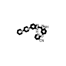 N#Cc1cccnc1Oc1ccc2[nH]nc(-c3nc4ccc(N5CCC(N6CCCCC6)CC5)cc4[nH]3)c2c1